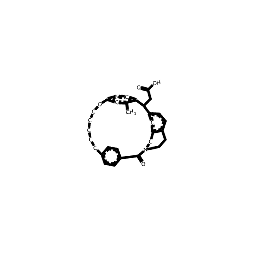 Cc1cc2ncc1C(CC(=O)O)c1ccc3c(c1)CN(CC3)C(=O)c1ccc(cc1)CCCCCO2